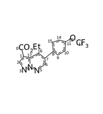 CCOC(=O)c1cnn2ncc(-c3ccc(OC(F)(F)F)cc3)cc12